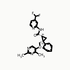 Cc1ncc(OC[C@@]2(c3ccccc3)C[C@H]2C(=O)Nc2cc(C(F)F)ccn2)c(C)n1